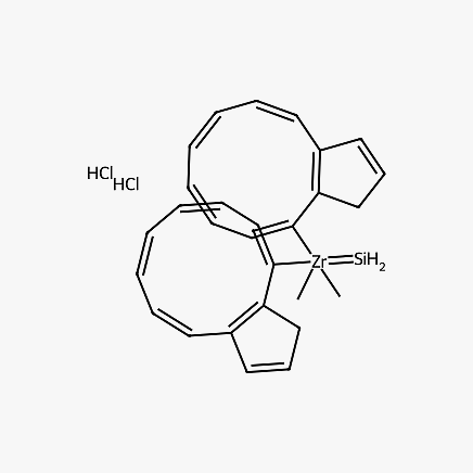 Cl.Cl.[CH3][Zr]([CH3])(=[SiH2])([c]1cccccccc2c1CC=C2)[c]1cccccccc2c1CC=C2